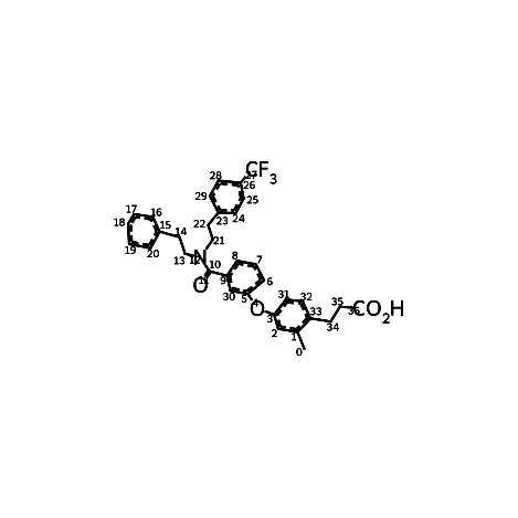 Cc1cc(Oc2cccc(C(=O)N(CCc3ccccc3)CCc3ccc(C(F)(F)F)cc3)c2)ccc1CCC(=O)O